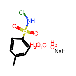 Cc1ccc(S(=O)(=O)NCl)cc1.O.O.O.[NaH]